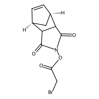 O=C(CBr)ON1C(=O)C2C(C1=O)[C@H]1C=C[C@@H]2C1